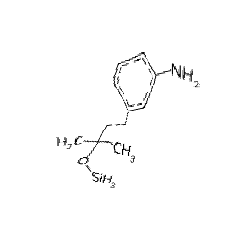 CC(C)(CCc1cccc(N)c1)O[SiH3]